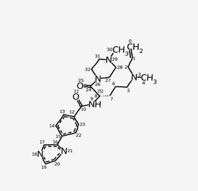 C=CCN(C)CCC[C@H](NC(=O)c1ccc(-c2cnccn2)cc1)C(=O)N1CCN(C)CC1